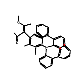 CO/C(C)=C(\C(C)=O)c1cc(C)c(N(c2ccccc2-c2ccccc2)c2ccccc2-c2ccccc2)c(C)c1C